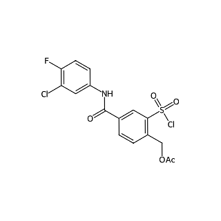 CC(=O)OCc1ccc(C(=O)Nc2ccc(F)c(Cl)c2)cc1S(=O)(=O)Cl